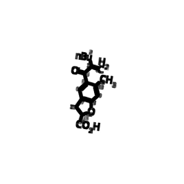 C=C(CCCC)C(=O)c1cc2c(cc1C)OC(C(=O)O)C2